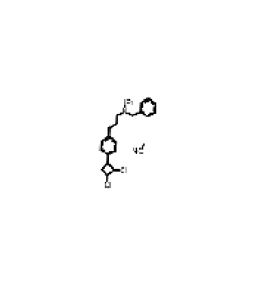 CC#N.CC(C)N(CCCc1ccc(C2CC(Cl)C2Cl)cc1)Cc1ccccc1